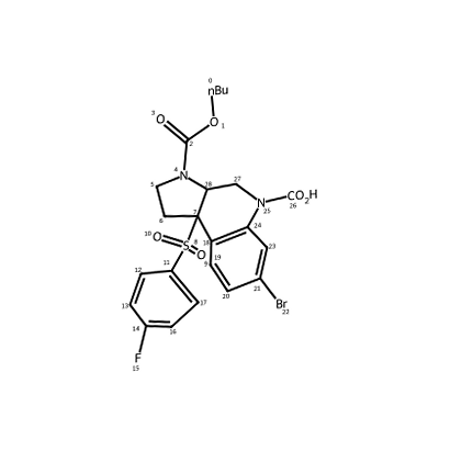 CCCCOC(=O)N1CCC2(S(=O)(=O)c3ccc(F)cc3)c3ccc(Br)cc3N(C(=O)O)CC12